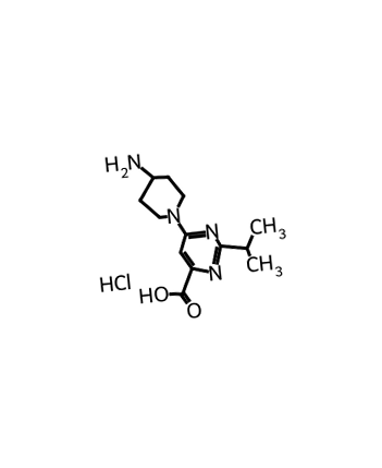 CC(C)c1nc(C(=O)O)cc(N2CCC(N)CC2)n1.Cl